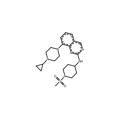 CS(=O)(=O)N1CCC(Nc2ncc3cccc(N4CCN(C5CC5)CC4)c3n2)CC1